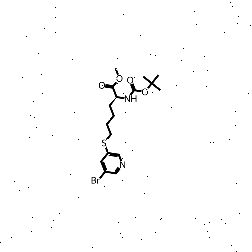 COC(=O)[C@H](CCCCSc1cncc(Br)c1)NC(=O)OC(C)(C)C